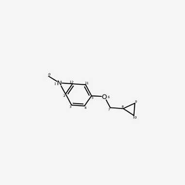 CN1c2ccc(OCC3CC3)cc21